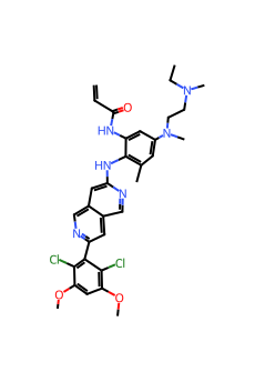 C=CC(=O)Nc1cc(N(C)CCN(C)CC)cc(C)c1Nc1cc2cnc(-c3c(Cl)c(OC)cc(OC)c3Cl)cc2cn1